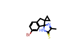 CC1=NC2(NC1=S)c1cc(Br)ccc1CC21CC1